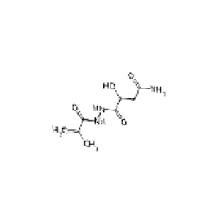 C=C(C)C(=O)NNC(=O)C(O)CC(N)=O